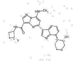 CNc1cc(-c2cnc3n([C@@H]4CCOC[C@H]4O)cccc2-3)nc2c(C(=O)NC3CC[C@H]3F)cnn12